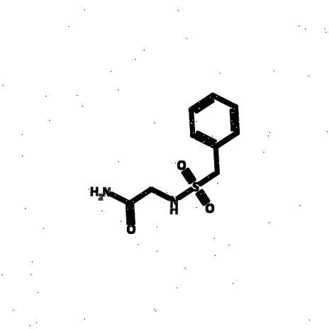 NC(=O)CNS(=O)(=O)Cc1ccccc1